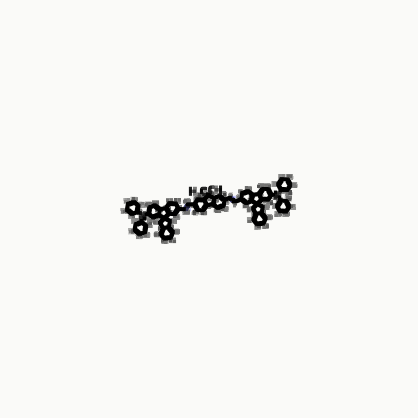 CC1(C)c2cc(/C=C/c3ccc4c(c3)C3(Cc5ccccc5C3)c3cc(N(c5ccccc5)c5ccccc5)ccc3-4)ccc2-c2ccc(/C=C/c3ccc4c(c3)C3(Cc5ccccc5C3)c3cc(N(c5ccccc5)c5ccccc5)ccc3-4)cc21